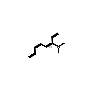 C=C/C=C\C=C(/C=C)N(C)C